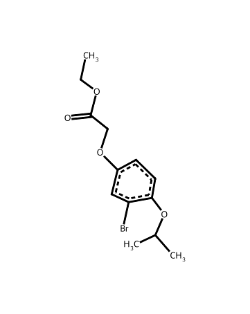 CCOC(=O)COc1ccc(OC(C)C)c(Br)c1